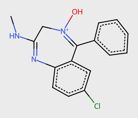 CNC1=Nc2ccc(Cl)cc2C(c2ccccc2)=[N+](O)C1